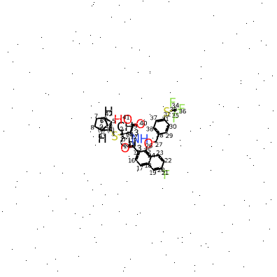 CC(C)(S[C@@H]1C[C@@H]2CC[C@H]1C2)[C@H](NC(=O)c1ccc2cc(F)ccc2c1OCc1ccc(SC(F)(F)F)cc1)C(=O)O